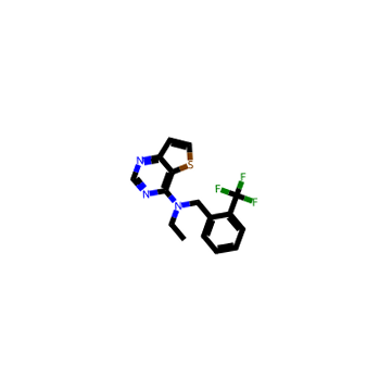 CCN(Cc1ccccc1C(F)(F)F)c1ncnc2ccsc12